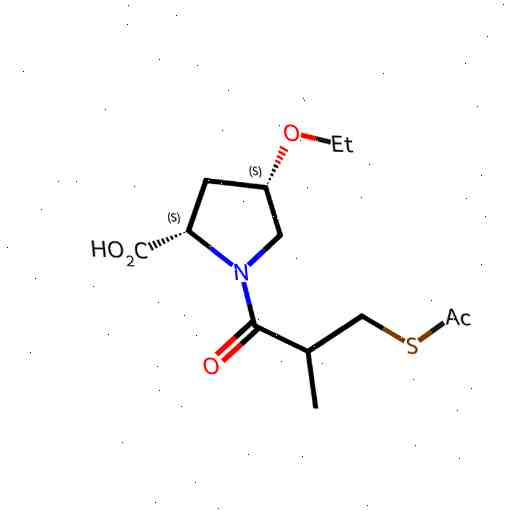 CCO[C@H]1C[C@@H](C(=O)O)N(C(=O)C(C)CSC(C)=O)C1